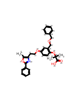 Cc1oc(-c2ccccc2)nc1CCOc1ccc(OC(C)(C)C(=O)O)c(COCc2ccccc2)c1